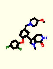 COC1CCN(Cc2ccc(Oc3ccc(F)cc3F)c(-c3cn(C)c4c(=O)[nH]ccc34)c2)CC1